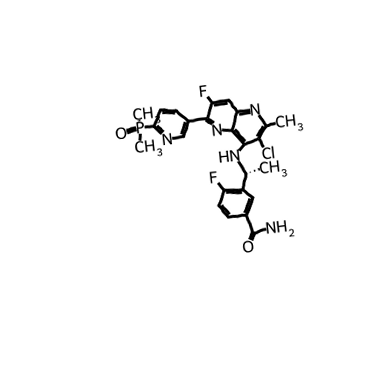 Cc1nc2cc(F)c(-c3ccc(P(C)(C)=O)nc3)nc2c(N[C@H](C)c2cc(C(N)=O)ccc2F)c1Cl